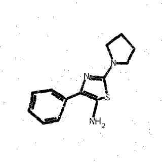 Nc1sc(N2CCCC2)nc1-c1ccccc1